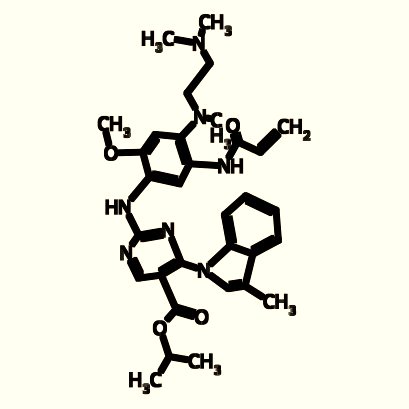 C=CC(=O)Nc1cc(Nc2ncc(C(=O)OC(C)C)c(-n3cc(C)c4ccccc43)n2)c(OC)cc1N(C)CCN(C)C